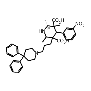 CC1N[C@H](C)C(C)(C(=O)O)C(c2cccc([N+](=O)[O-])c2)C1(CCCN1CCC(c2ccccc2)(c2ccccc2)CC1)C(=O)O